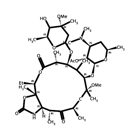 CC[C@H]1OC(=O)[C@H](C)[C@@H](OC2C[C@@](C)(OC)C(O)[C@H](C)O2)C(C)[C@@H](O[C@@H]2O[C@H](C)C[C@H](N(C)C)[C@H]2OC(C)=O)[C@](C)(OC)C[C@@H](C)C(=O)[C@H](C)[C@H]2NC(=O)O[C@@]21C